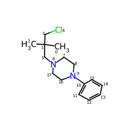 CC(C)(CCl)CN1CCN(c2ccccc2)CC1